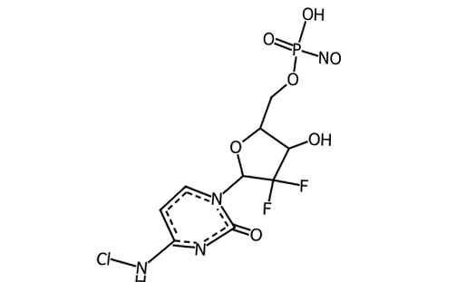 O=NP(=O)(O)OCC1OC(n2ccc(NCl)nc2=O)C(F)(F)C1O